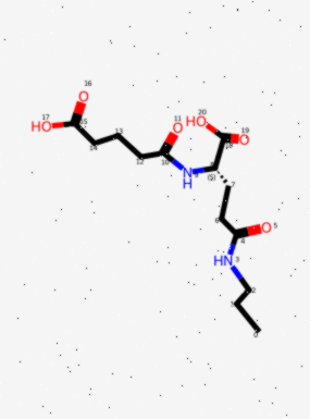 CCCNC(=O)CC[C@H](NC(=O)CCCC(=O)O)C(=O)O